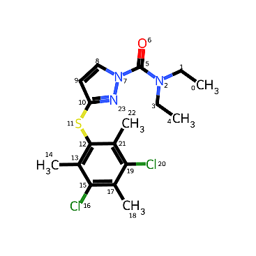 CCN(CC)C(=O)n1ccc(Sc2c(C)c(Cl)c(C)c(Cl)c2C)n1